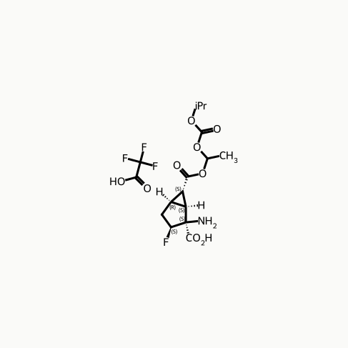 CC(C)OC(=O)OC(C)OC(=O)[C@H]1[C@@H]2C[C@H](F)[C@@](N)(C(=O)O)[C@@H]21.O=C(O)C(F)(F)F